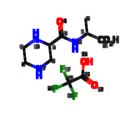 CC(NC(=O)C1CNCCN1)C(=O)O.O=C(O)C(F)(F)F